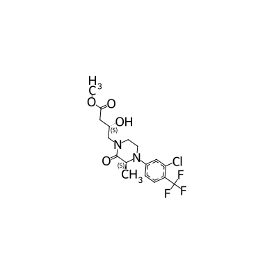 COC(=O)C[C@H](O)CN1CCN(c2ccc(C(F)(F)F)c(Cl)c2)[C@@H](C)C1=O